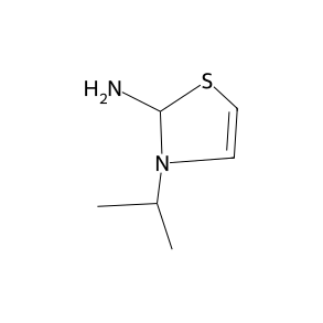 CC(C)N1C=CSC1N